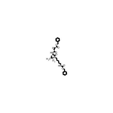 CC(C)C[C@H](NC(=O)[C@H]1O[C@@H]1C(=O)OCc1ccccc1)C(=O)NCCCCCNC(=O)OCc1ccccc1